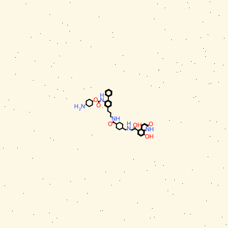 N[C@H]1CC[C@H](OC(=O)Nc2cc(CCCNC(=O)C3CCC(CNC[C@H](O)c4ccc(O)c5[nH]c(=O)ccc45)CC3)ccc2-c2ccccc2)CC1